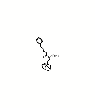 CCCCCN(CCC12CC3CC(CC(C3)C1)C2)C(=O)CCCCc1ccncc1